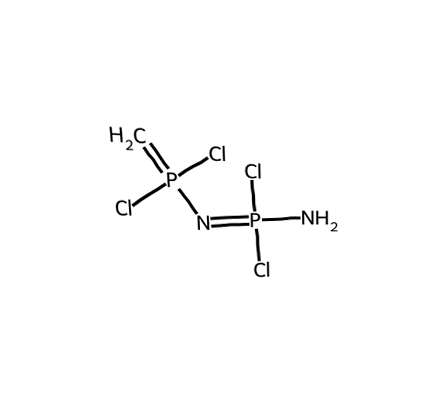 C=P(Cl)(Cl)N=P(N)(Cl)Cl